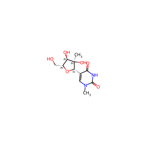 Cn1cc([C@@H]2O[C@H](CO)[C@@H](O)[C@@]2(C)O)c(=O)[nH]c1=O